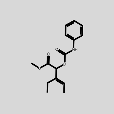 CC=C(CC)C(OC(=O)Nc1ccccc1)C(=O)OC